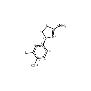 Cc1cc([C@H]2CCC(N)=N2)ccc1Cl